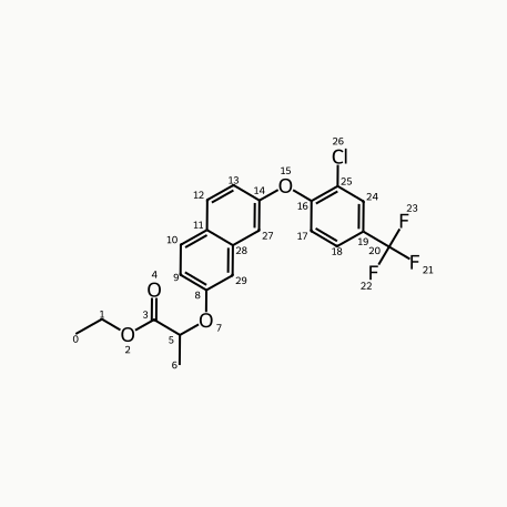 CCOC(=O)C(C)Oc1ccc2ccc(Oc3ccc(C(F)(F)F)cc3Cl)cc2c1